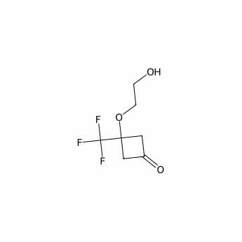 O=C1CC(OCCO)(C(F)(F)F)C1